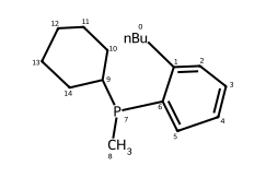 CCCCc1ccccc1P(C)C1CCCCC1